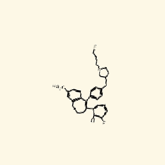 O=C(O)c1ccc2c(c1)CCCC(c1cccc(F)c1Cl)=C2c1ccc(CC2CCN(CCCF)C2)cc1